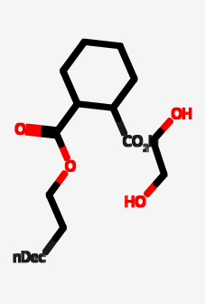 CCCCCCCCCCCCOC(=O)C1CCCCC1C(=O)O.OCCO